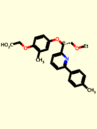 CCOC[C@@H](Oc1ccc(OCC(=O)O)c(C)c1)c1cccc(-c2ccc(C)cc2)n1